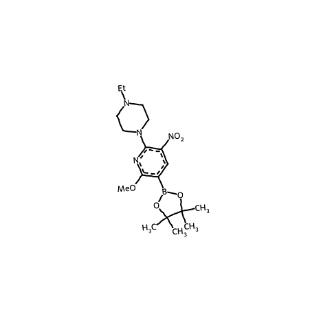 CCN1CCN(c2nc(OC)c(B3OC(C)(C)C(C)(C)O3)cc2[N+](=O)[O-])CC1